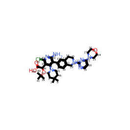 CC1(C)CCN(c2c(-c3ccc4c(c3)CCN(c3nccc(N5CCOCC5)n3)C4)c(N)nc(Cl)c2C(OC(C)(C)C)C(=O)O)CC1